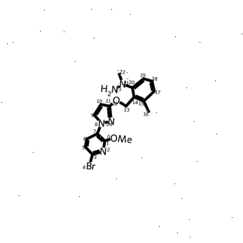 COc1nc(Br)ccc1-n1ccc(OCc2c(C)cccc2N(C)N)n1